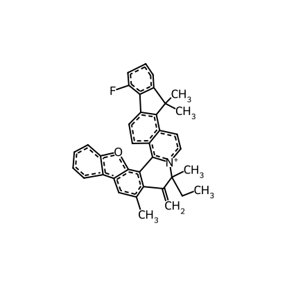 C=C1c2c(C)cc3c(oc4ccccc43)c2-c2c3ccc4c(c3cc[n+]2C1(C)CC)C(C)(C)c1cccc(F)c1-4